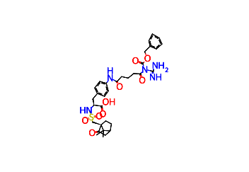 CC1(C)C2CC[C@@]1(CS(=O)(=O)N[C@@H](Cc1ccc(NC(=O)CCCC(=O)N(C(=N)N)C(=O)OCc3ccccc3)cc1)C(=O)O)C(=O)C2